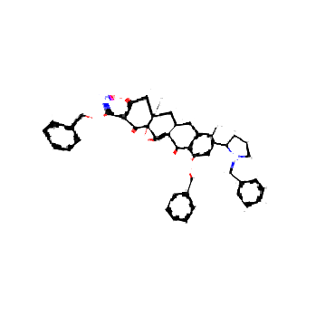 O=C1C2=C3O[C@]34C(=O)c3c(OCc5ccccc5)noc3C[C@@H]4CC2Cc2c1c(OCc1ccccc1)cc(C1CCCN1Cc1ccccc1)c2C(F)(F)F